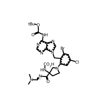 CN(C)/C=N/C(=O)C1(NC(=O)O)CCN(c2cc(Cl)cc(Br)c2Cn2cnc3c(NC(=O)OC(C)(C)C)ncnc32)C1